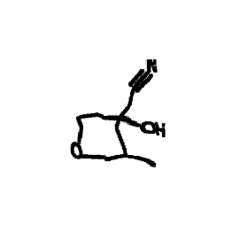 CC1COCCC1(O)C#N